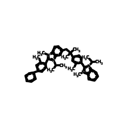 Cc1cc(C(C)(C)Cc2ccc3c(c2)n(C(C)C)c(-c2ccc(-c4ccccc4)cc2C)[n+]3C)ccc1-c1n(C(C)C)c2ccccc2[n+]1C